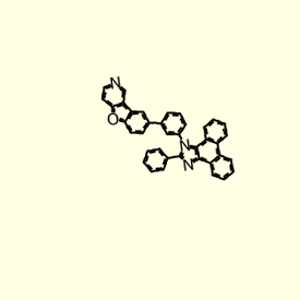 c1ccc(-c2nc3c4ccccc4c4ccccc4c3n2-c2cccc(-c3ccc4oc5ccncc5c4c3)c2)cc1